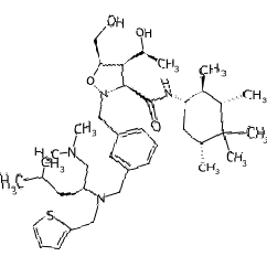 CC(C)C[C@@H](CN(C)C)N(Cc1cccc(CN2O[C@@H](CO)[C@@H]([C@H](C)O)[C@H]2C(=O)N[C@H]2C[C@@H](C)C(C)(C)[C@@H](C)[C@@H]2C)c1)Cc1cccs1